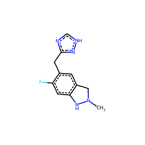 CN1Cc2cc(Cc3nc[nH]n3)c(F)cc2N1